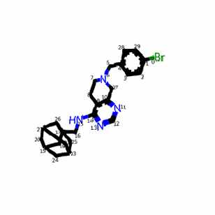 Brc1ccc(CN2CCc3c(ncnc3NCC34CC5CC(CC(C5)C3)C4)C2)cc1